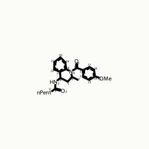 CCCCCC(=O)NC1CC(C)N(C(=O)c2ccc(OC)cc2)c2ccccc21